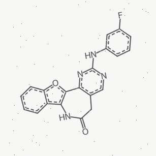 O=C1Cc2cnc(Nc3cccc(F)c3)nc2-c2oc3ccccc3c2N1